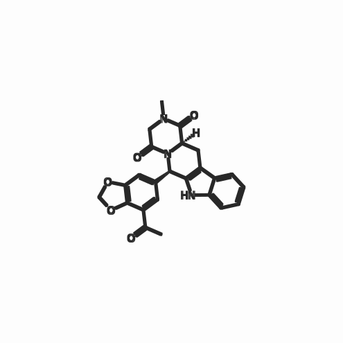 CC(=O)c1cc([C@@H]2c3[nH]c4ccccc4c3C[C@@H]3C(=O)N(C)CC(=O)N23)cc2c1OCO2